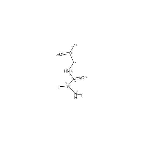 CN[C@@H](C)C(=O)NCC(C)=O